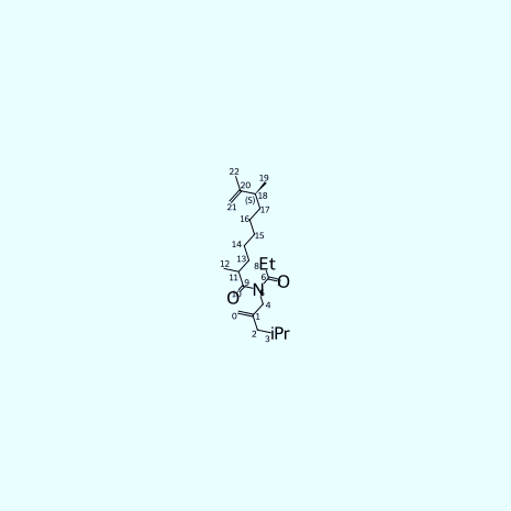 C=C(CC(C)C)CN(C(=O)CC)C(=O)C(C)CCCCC[C@H](C)C(=C)C